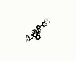 CCN(CC)C[C@@]1(c2ccccc2)CC1(NS(=O)(=O)c1ccc(-c2cc(C(F)(F)F)on2)s1)C(=O)O